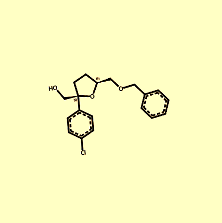 OC[C@@]1(c2ccc(Cl)cc2)CC[C@@H](COCc2ccccc2)O1